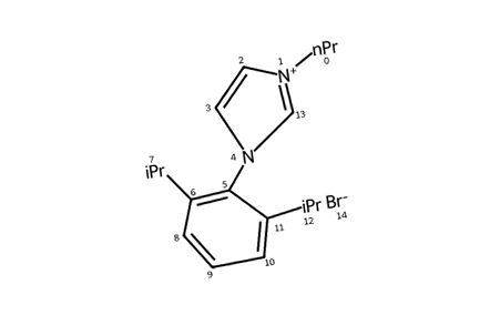 CCC[n+]1ccn(-c2c(C(C)C)cccc2C(C)C)c1.[Br-]